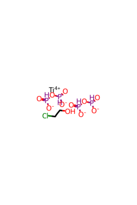 O=[PH]([O-])O[PH](=O)[O-].O=[PH]([O-])O[PH](=O)[O-].OCCCl.[Ti+4]